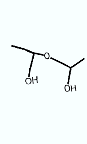 CC(O)OC(C)O